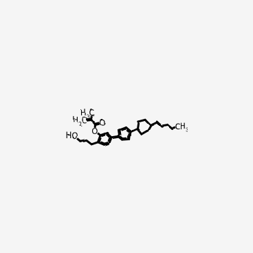 C=C(C)C(=O)Oc1cc(-c2ccc(C3CCC(CCCCC)CC3)cc2)ccc1CCCO